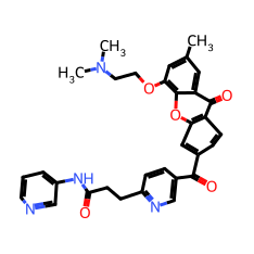 Cc1cc(OCCN(C)C)c2oc3cc(C(=O)c4ccc(CCC(=O)Nc5cccnc5)nc4)ccc3c(=O)c2c1